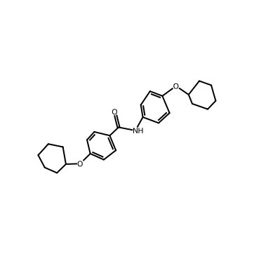 O=C(Nc1ccc(OC2CCCCC2)cc1)c1ccc(OC2CCCCC2)cc1